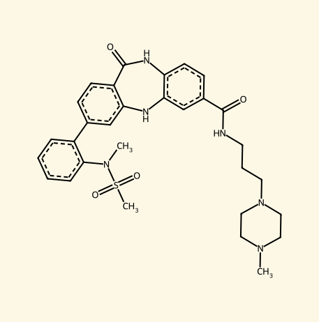 CN1CCN(CCCNC(=O)c2ccc3c(c2)Nc2cc(-c4ccccc4N(C)S(C)(=O)=O)ccc2C(=O)N3)CC1